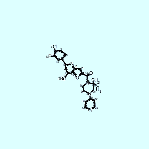 CC(C)(C)c1cc(-c2ccc(Cl)c(F)c2)nc2cc(C(=O)N3CCN(c4ccncc4)CC3(C)C)oc12